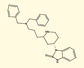 O=c1[nH]c2ccccc2n1[C@H]1CCNC(CCCN(Cc2ccccc2)Cc2ccccc2)C1